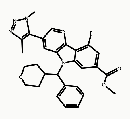 COC(=O)c1cc(F)c2c3ncc(-c4c(C)nnn4C)cc3n(C(c3ccccc3)C3CCOCC3)c2c1